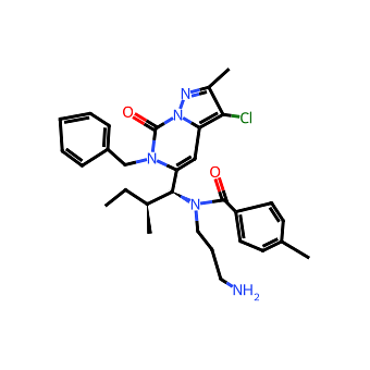 CC[C@H](C)[C@@H](c1cc2c(Cl)c(C)nn2c(=O)n1Cc1ccccc1)N(CCCN)C(=O)c1ccc(C)cc1